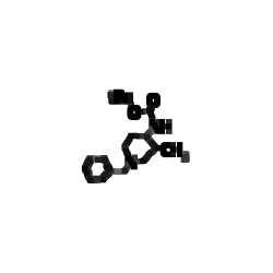 CC1CN(Cc2ccccc2)CCC1NC(=O)OC(C)(C)C